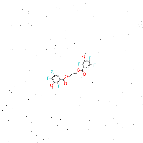 COc1c(F)c(F)cc(C(=O)OCCCOC(=O)c2cc(F)c(F)c(OC)c2F)c1F